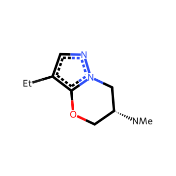 CCc1cnn2c1OC[C@@H](NC)C2